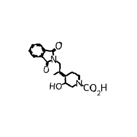 CC(CN1C(=O)c2ccccc2C1=O)=C1CCN(C(=O)O)CC1O